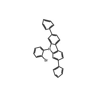 Brc1ccccc1-n1c2cc(-c3ccccc3)ccc2c2ccc(-c3ccccc3)cc21